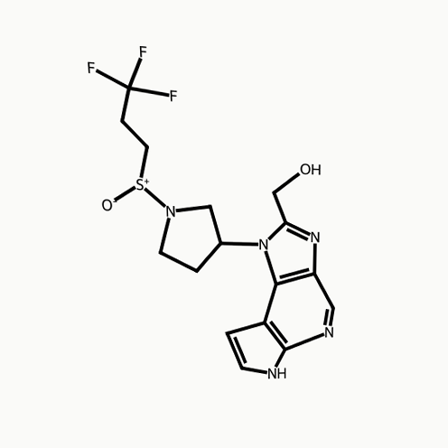 [O-][S+](CCC(F)(F)F)N1CCC(n2c(CO)nc3cnc4[nH]ccc4c32)C1